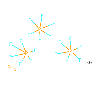 F[P-](F)(F)(F)(F)F.F[P-](F)(F)(F)(F)F.F[P-](F)(F)(F)(F)F.P.[Ir+3]